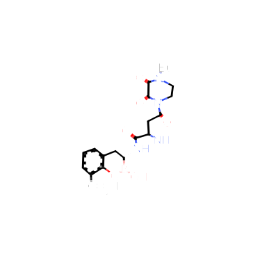 CCN1CCN(C(=O)CC(N)C(=O)N[C@H]2Cc3cccc(C(=O)O)c3OB2O)C(=O)C1=O